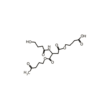 CC(=O)CCCOC(=O)C(CC(=O)OCCCC(=O)O)NC(=O)CCCO